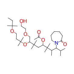 CCC(C)(C)OCCC(C)(C)OC(COCCO)C(C)(C)CC(OC(C)=O)C(C)(C)C(C)C(C(C)C)N1CCCCCC1=O